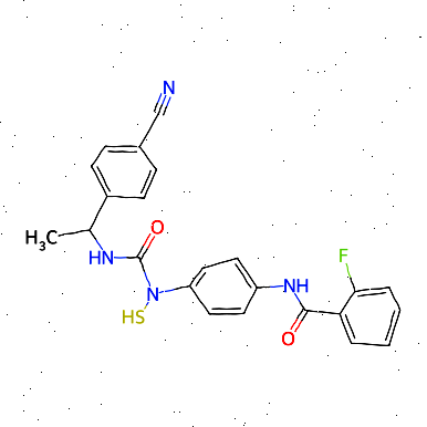 CC(NC(=O)N(S)c1ccc(NC(=O)c2ccccc2F)cc1)c1ccc(C#N)cc1